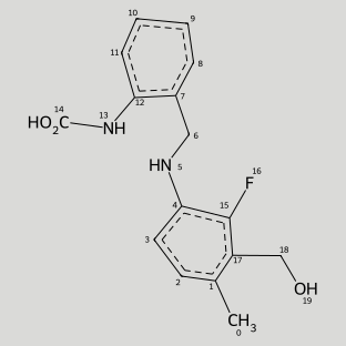 Cc1ccc(NCc2ccccc2NC(=O)O)c(F)c1CO